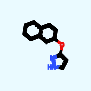 [c]1c(Oc2cc[nH]n2)ccc2ccccc12